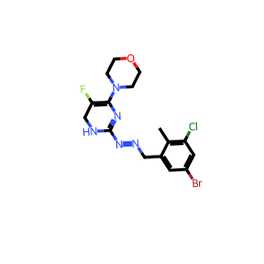 Cc1c(Cl)cc(Br)cc1C/N=N/C1=NC(N2CCOCC2)=C(F)CN1